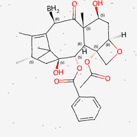 B[C@H]1C(=O)[C@@]2(C)[C@H]([C@H](OC(=O)c3ccccc3)[C@]3(O)C[C@H](C)C(C)=C1C3(C)C)[C@]1(OC(C)=O)CO[C@@H]1C[C@@H]2O